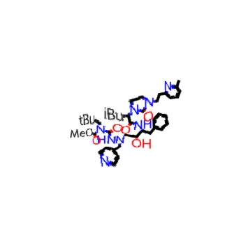 CCC(C)C(C(=O)NC(Cc1ccccc1)C(O)CN(Cc1ccncc1)NC(=O)N(CC(C)(C)C)C(=O)OC)N1CCN(CCc2cccc(C)n2)C1=O